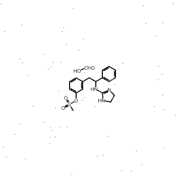 CS(=O)(=O)Oc1cccc(CC(NC2=NCCN2)c2ccccc2)c1.O=CO